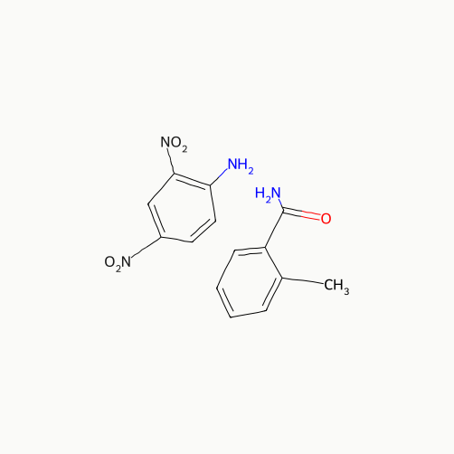 Cc1ccccc1C(N)=O.Nc1ccc([N+](=O)[O-])cc1[N+](=O)[O-]